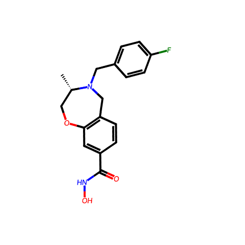 C[C@H]1COc2cc(C(=O)NO)ccc2CN1Cc1ccc(F)cc1